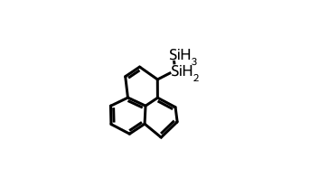 [SiH3][SiH2]C1C=Cc2cccc3cccc1c23